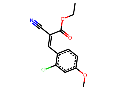 CCOC(=O)C(C#N)=Cc1ccc(OC)cc1Cl